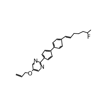 C=CCOc1cnc(-c2ccc(-c3ccc(C=CCCCC(C)F)cc3)cc2)nc1